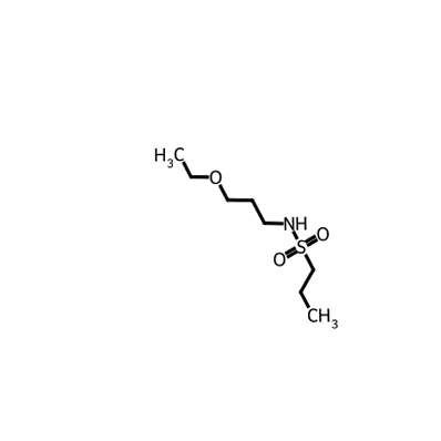 CCCS(=O)(=O)NCCCOCC